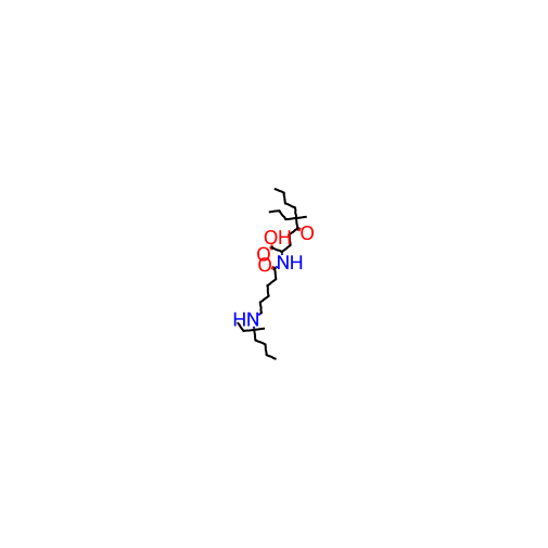 CCCCC(C)(CC)NCCCCCC(=O)NC(CCC(=O)C(C)(CCC)CCCC)C(=O)O